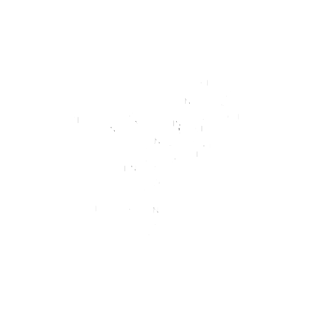 CCC[C@H](NC(=O)[C@@H]1C[C@@H](Oc2ccc(Cl)cn2)CN1C(=O)[C@@H](Nc1nc(C)c(C(C)=O)s1)C(C)(C)C)C(=O)C(=O)NC1CC1